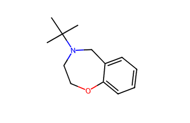 CC(C)(C)N1CCOc2ccccc2C1